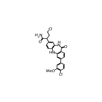 COc1cc(-c2ccc3c(c2)Nc2ccc(C(CCCl)C(N)=O)cc2NC3=O)ccc1Cl